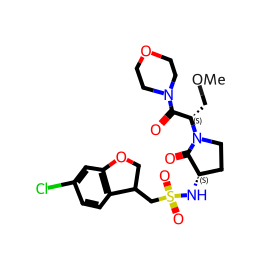 COC[C@@H](C(=O)N1CCOCC1)N1CC[C@H](NS(=O)(=O)CC2COc3cc(Cl)ccc32)C1=O